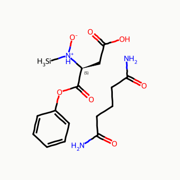 NC(=O)CCCC(N)=O.O=C(O)C[C@@H](C(=O)Oc1ccccc1)[NH+]([O-])[SiH3]